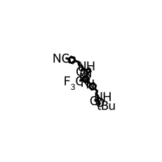 CC(C)(C)OC(=O)NCCC1CCN(c2cc(N3CC[C@H]3C(=O)NCCc3ccc(C#N)cc3)nc(C(F)(F)F)n2)CC1